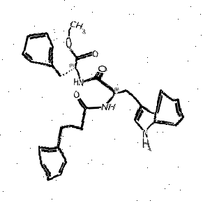 COC(=O)[C@@H](Cc1ccccc1)NC(=O)[C@@H](Cc1c[nH]c2ccccc12)NC(=O)CCc1ccccc1